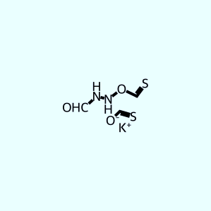 O=CNNOC=S.[K+].[O-]C=S